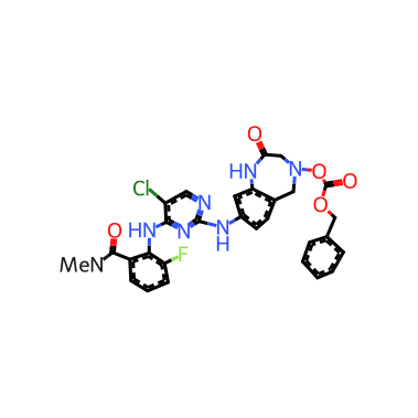 CNC(=O)c1cccc(F)c1Nc1nc(Nc2ccc3c(c2)NC(=O)CN(OC(=O)OCc2ccccc2)C3)ncc1Cl